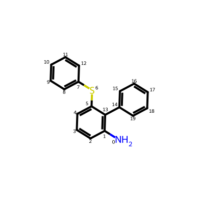 Nc1cccc(Sc2ccccc2)c1-c1ccccc1